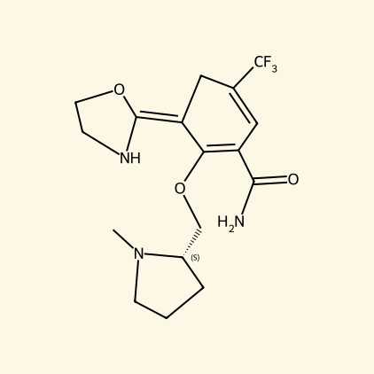 CN1CCC[C@H]1COC1=C(C(N)=O)C=C(C(F)(F)F)CC1=C1NCCO1